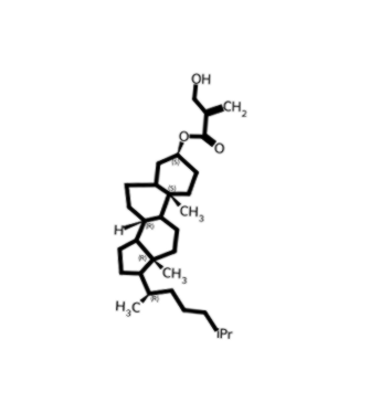 C=C(CO)C(=O)O[C@H]1CC[C@@]2(C)C(CC[C@@H]3C2CC[C@@]2(C)C3CCC2[C@H](C)CCCC(C)C)C1